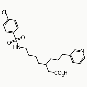 O=C(O)CC(CCCCNS(=O)(=O)c1ccc(Cl)cc1)CCCc1cccnc1